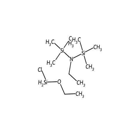 CCN([Si](C)(C)C)[Si](C)(C)C.CCO[SiH2]Cl